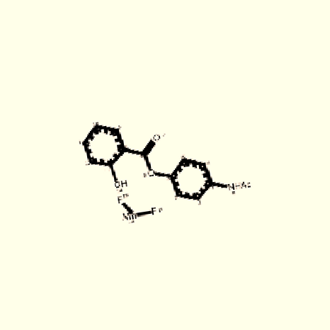 CC(=O)Nc1ccc(OC(=O)c2ccccc2O)cc1.[F][Mn][F]